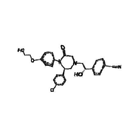 N#Cc1ccc([C@H](O)CN2CC(=O)N(c3ccc(OCCO)cc3)[C@H](c3ccc(Cl)cc3)C2)cc1